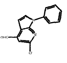 O=Cc1cc(Cl)nc2c1ccn2-c1ccccc1